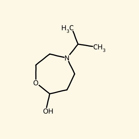 CC(C)N1CCOC(O)CC1